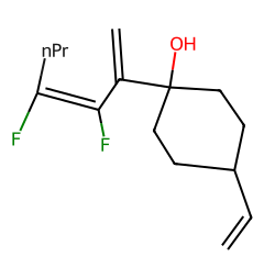 C=CC1CCC(O)(C(=C)/C(F)=C(/F)CCC)CC1